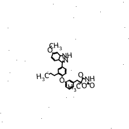 CCCc1cc(C2=NNC3C=C(OC)C=CC23)ccc1Oc1cccc(C[C@@]2(C)OC(=O)NC2=O)c1